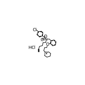 C#CCCCCN(Cc1ccccc1OCCCN1CCCCC1)S(=O)(=O)c1ccc(Cl)cc1.Cl